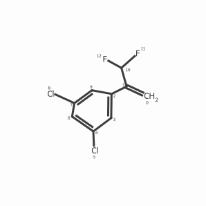 C=C(c1cc(Cl)cc(Cl)c1)C(F)F